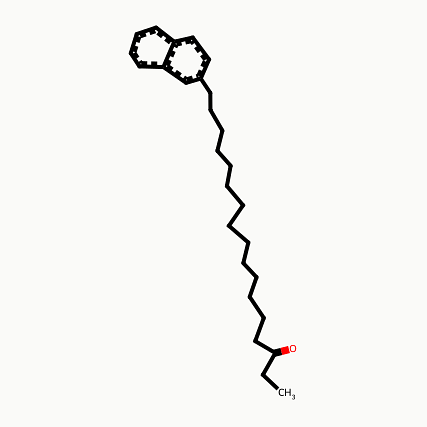 CCC(=O)CCCCCCCCCCCCCCc1ccc2ccccc2c1